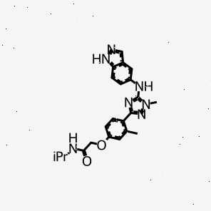 Cc1cc(OCC(=O)NC(C)C)ccc1-c1nc(Nc2ccc3[nH]ncc3c2)n(C)n1